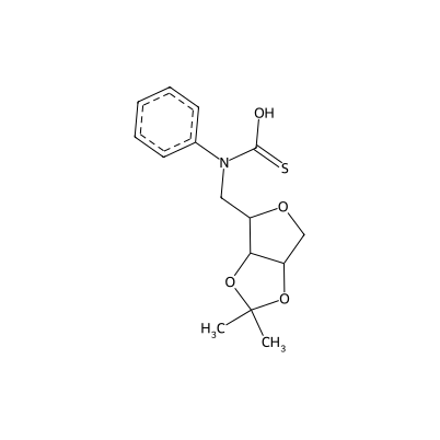 CC1(C)OC2COC(CN(C(O)=S)c3ccccc3)C2O1